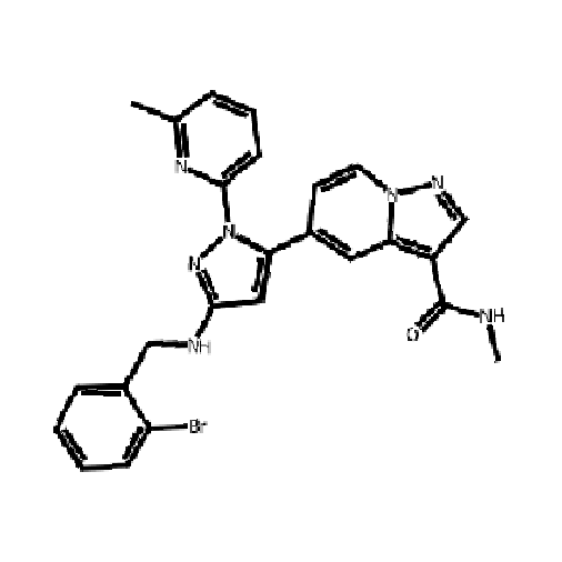 CNC(=O)c1cnn2ccc(-c3cc(NCc4ccccc4Br)nn3-c3cccc(C)n3)cc12